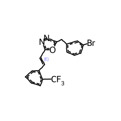 FC(F)(F)c1ccccc1/C=C/c1nnc(Cc2cccc(Br)c2)o1